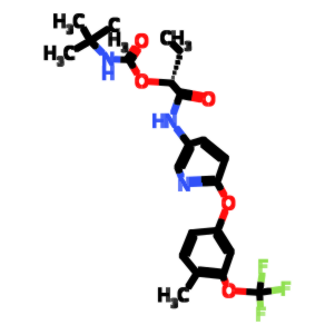 CC[C@@H](OC(=O)NC(C)(C)C)C(=O)Nc1ccc(Oc2ccc(C)c(OC(F)(F)F)c2)nc1